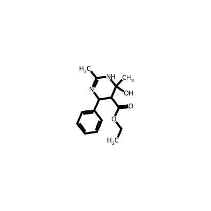 CCOC(=O)C1C(c2ccccc2)N=C(C)NC1(C)O